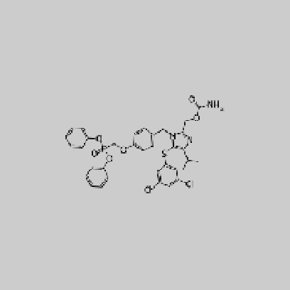 CC(C)c1nc(COC(N)=O)n(Cc2ccc(OCP(=O)(Oc3ccccc3)Oc3ccccc3)cc2)c1Sc1cc(Cl)cc(Cl)c1